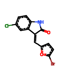 O=C1Nc2ccc(Cl)cc2/C1=C/c1ccc(Br)o1